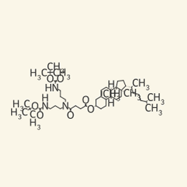 CC(C)CCCC(C)[C@H]1CC[C@H]2[C@@H]3CC=C4C[C@@H](OC(=O)CCC(=O)N(CCCNC(=O)OC(C)(C)C)CCCNC(=O)OC(C)(C)C)CC[C@]4(C)[C@H]3CC[C@]12C